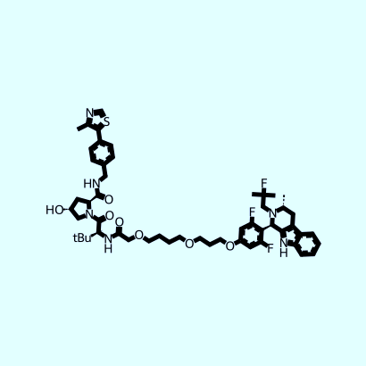 Cc1ncsc1-c1ccc(CNC(=O)[C@@H]2C[C@@H](O)CN2C(=O)[C@@H](NC(=O)COCCCCOCCCOc2cc(F)c([C@@H]3c4[nH]c5ccccc5c4C[C@@H](C)N3CC(C)(C)F)c(F)c2)C(C)(C)C)cc1